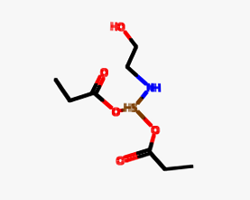 CCC(=O)O[SH](NCCO)OC(=O)CC